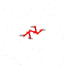 CCCCOC(=O)CCCCCCCC(=O)OCC(COC(=O)CCCCCCCC(=O)OCC(COC(=O)CCCCCCCC(=O)OCCCC)OC(=O)CCCCCCCC(=O)OCCCC)OC(=O)CCCCCCCC(=O)OCCCC